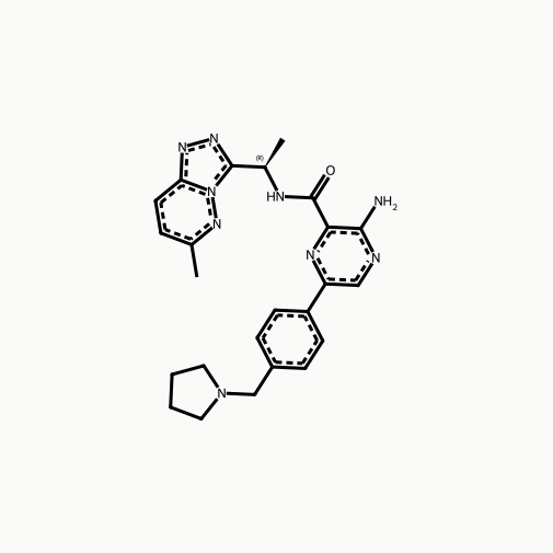 Cc1ccc2nnc([C@@H](C)NC(=O)c3nc(-c4ccc(CN5CCCC5)cc4)cnc3N)n2n1